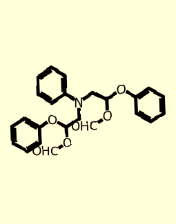 O=COC(CN(CC(OC=O)Oc1ccccc1)c1ccccc1)Oc1ccccc1